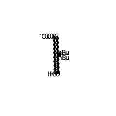 CCC[CH2][Sn+2][CH2]CCC.O=C([O-])CCCCCCCCCCCCCCCCCO.O=C([O-])CCCCCCCCCCCCCCCCCO